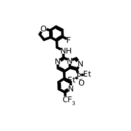 CCP(=O)(CC)c1ncn2c(NCc3c(F)ccc4c3CCO4)ncc(-c3ccc(C(F)(F)F)nc3)c12